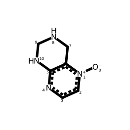 [O-][n+]1ccnc2c1CNCN2